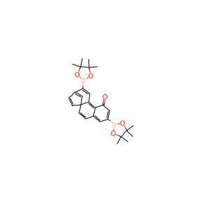 CC1(C)OB(C2=CC(=O)C3=C4C=C(B5OC(C)(C)C(C)(C)O5)C5=CC4(C=C5)C=CC3=C2)OC1(C)C